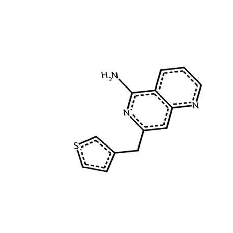 Nc1nc(Cc2ccsc2)cc2ncccc12